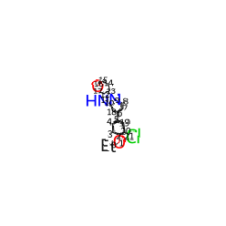 CCOc1ccc(-c2ccnc(NC3CCCOC3)c2)cc1Cl